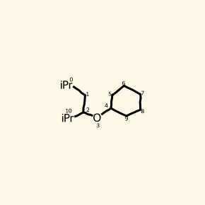 CC(C)CC(OC1CCCCC1)C(C)C